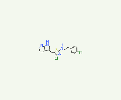 Clc1ccc(CCNc2nc(Cl)c(Cc3c[nH]c4ncccc34)s2)cc1